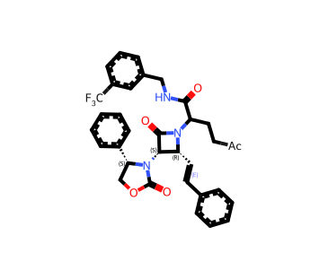 CC(=O)CCC(C(=O)NCc1cccc(C(F)(F)F)c1)N1C(=O)[C@@H](N2C(=O)OC[C@@H]2c2ccccc2)[C@H]1/C=C/c1ccccc1